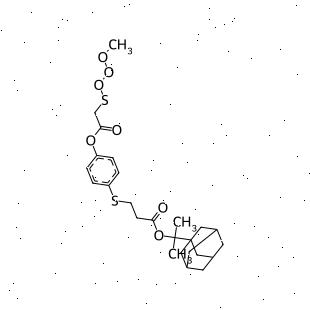 COOOSCC(=O)Oc1ccc(SCCC(=O)OC(C)(C)C23CC4CC(CC(C4)C2)C3)cc1